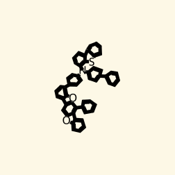 c1ccc(-c2ccc(N(c3ccc(-c4cccc5c4oc4c(-c6ccccc6)c6c(cc45)oc4ccccc46)cc3)c3cccc4c3sc3ccccc34)cc2)cc1